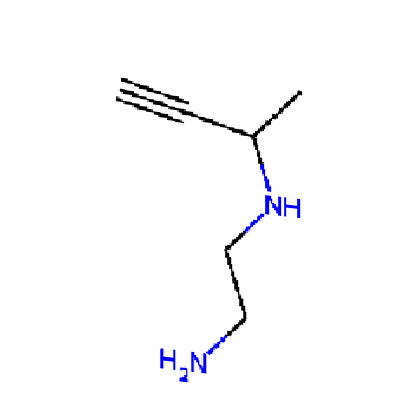 C#CC(C)NCCN